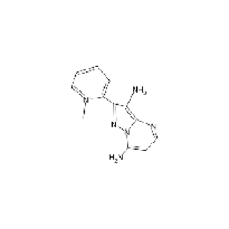 C[n+]1ccccc1-c1nn2c(N)ccnc2c1N